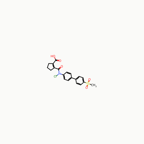 CS(=O)(=O)c1ccc(-c2ccc(N(Cl)C(=O)C3=C(C(=O)O)CCC3)cc2)cc1